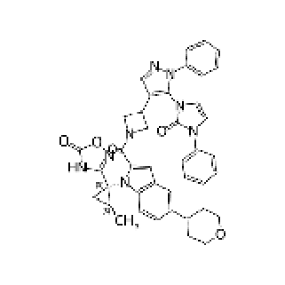 C[C@H]1C[C@]1(c1noc(=O)[nH]1)n1c(C(=O)N2CC(c3cnn(-c4ccccc4)c3-n3ccn(-c4ccccc4)c3=O)C2)cc2cc(C3CCOCC3)ccc21